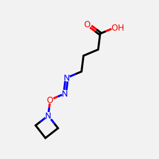 O=C(O)CCCN=NON1CCC1